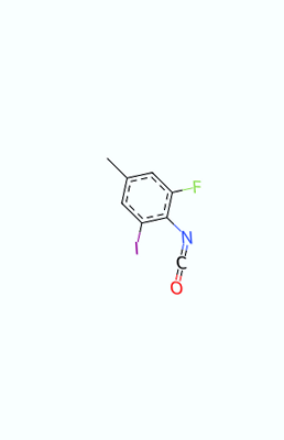 Cc1cc(F)c(N=C=O)c(I)c1